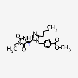 CCCCc1ncc(/C=C2\NC(=O)N(CC)C2=O)n1Cc1ccc(C(=O)OC)cc1